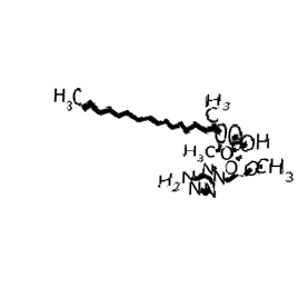 CCCCCCCCCCCCCCCCC(C)OC(C)OP(=O)(O)CO[C@H](COC)Cn1cnc2c(N)ncnc21